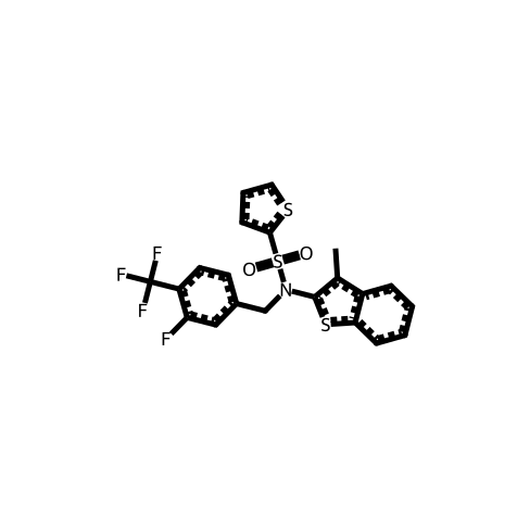 Cc1c(N(Cc2ccc(C(F)(F)F)c(F)c2)S(=O)(=O)c2cccs2)sc2ccccc12